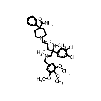 COc1cc(CN(C)CC(CCCN2CCC(C(N)=O)(c3ccccc3)CC2)(c2ccc(Cl)c(Cl)c2)N(C)C)cc(OC)c1OC